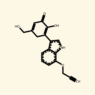 C#CCOc1cccc2c(C3=C(O)C(=O)C=C(CO)C3)c[nH]c12